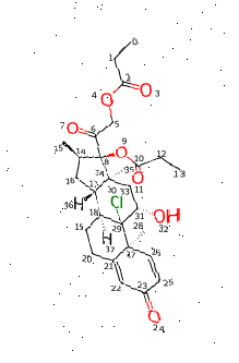 CCC(=O)OCC(=O)[C@@]1(OC(=O)CC)[C@H](C)C[C@H]2[C@@H]3CCC4=CC(=O)C=C[C@]4(C)C3(Cl)[C@@H](O)C[C@@]21C